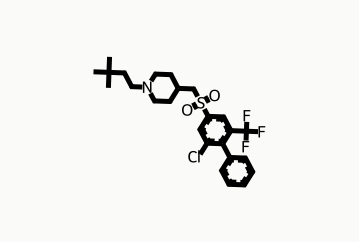 CC(C)(C)CCN1CCC(CS(=O)(=O)c2cc(Cl)c(-c3ccccc3)c(C(F)(F)F)c2)CC1